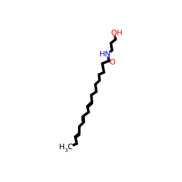 CC/C=C/C/C=C/C/C=C/CCCCCCCC(=O)NCCCO